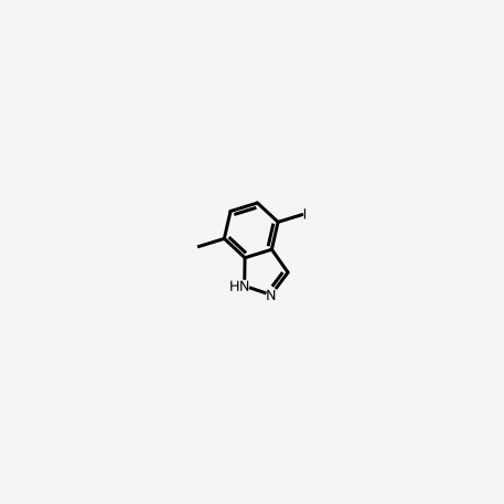 Cc1ccc(I)c2cn[nH]c12